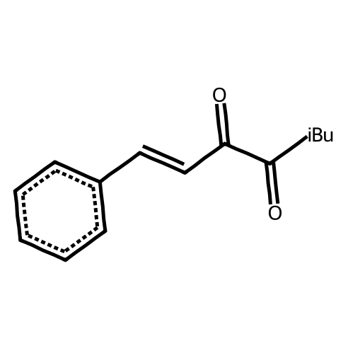 CCC(C)C(=O)C(=O)C=Cc1ccccc1